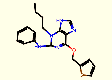 CCCCN1c2[nH]cnc2C(OCc2cccs2)=NC1Nc1ccccc1